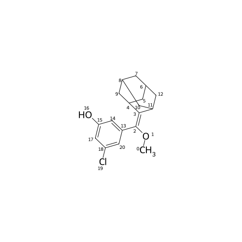 COC(=C1C2CC3CC(C2)CC1C3)c1cc(O)cc(Cl)c1